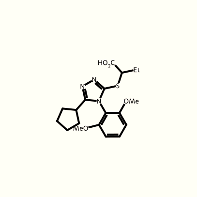 CCC(Sc1nnc(C2CCCC2)n1-c1c(OC)cccc1OC)C(=O)O